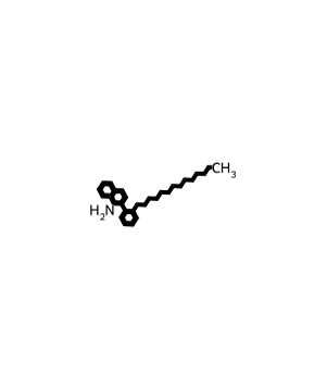 CCCCCCCCCCCCCCc1ccccc1-c1ccc2ccccc2c1N